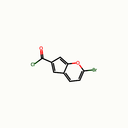 O=C(Cl)c1cc2ccc(Br)oc-2c1